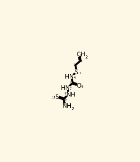 C=CCSNC(=O)NNC(N)=S